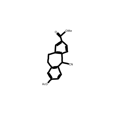 COC(=O)c1ccc2c(c1)CCc1cc(OC(C)=O)ccc1C2C#N